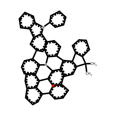 CC1(C)c2ccccc2-c2c(-c3ccccc3N(c3ccccc3-c3ccc4c(c3)c3ccccc3n4-c3ccccc3)c3ccccc3-c3cccc4cccc(-c5ccccc5)c34)cccc21